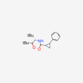 CC(C)(C)C(=O)[C@@H](NC(=O)C1CC1c1ccccc1)C(C)(C)C